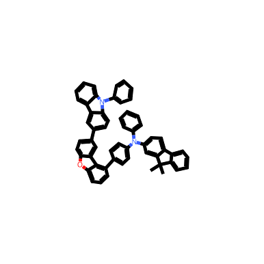 CC1(C)c2ccccc2-c2ccc(N(c3ccccc3)c3ccc(-c4cccc5oc6ccc(-c7ccc8c(c7)c7ccccc7n8-c7ccccc7)cc6c45)cc3)cc21